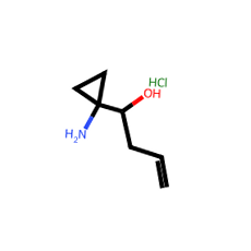 C=CCC(O)C1(N)CC1.Cl